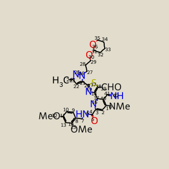 CNc1cc(C(=O)NCc2ccc(OC)cc2OC)nc(-c2nc(-c3cc(C)nn3CCCOC3CCCCO3)sc2C=O)c1C=N